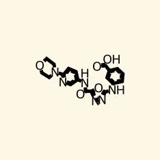 O=C(O)c1cccc(Nc2nnc(C(=O)Nc3ccc(N4CCOCC4)nc3)o2)c1